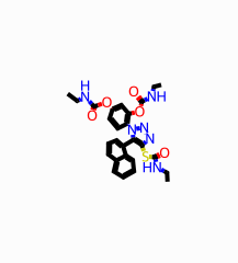 CCNC(=O)Oc1ccc(-n2nnc(SC(=O)NCC)c2-c2cccc3ccccc23)c(OC(=O)NCC)c1